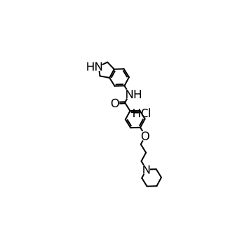 Cl.O=C(Nc1ccc2c(c1)CNC2)c1ccc(OCCCN2CCCCC2)cc1